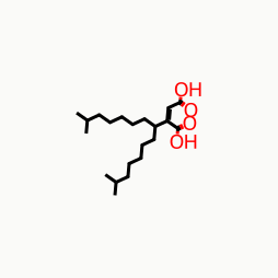 CC(C)CCCCCC(CCCCCC(C)C)/C(=C/C(=O)O)C(=O)O